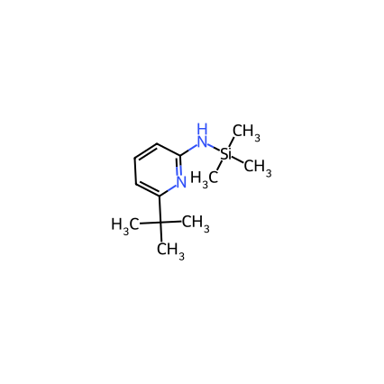 CC(C)(C)c1cccc(N[Si](C)(C)C)n1